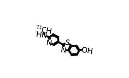 [11CH3]Nc1ccc(-c2nc3ccc(O)cc3s2)cn1